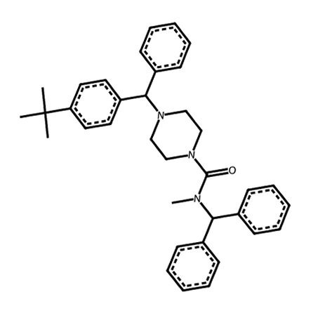 CN(C(=O)N1CCN(C(c2ccccc2)c2ccc(C(C)(C)C)cc2)CC1)C(c1ccccc1)c1ccccc1